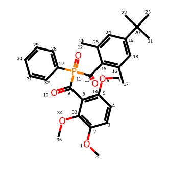 COc1ccc(OC)c(C(=O)P(=O)(C(=O)c2c(C)cc(C(C)(C)C)cc2C)c2ccccc2)c1OC